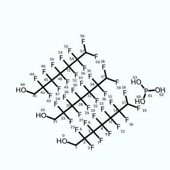 OCC(F)(F)C(F)(F)C(F)(F)C(F)(F)C(F)(F)C(F)F.OCC(F)(F)C(F)(F)C(F)(F)C(F)(F)C(F)(F)C(F)F.OCC(F)(F)C(F)(F)C(F)(F)C(F)(F)C(F)(F)C(F)F.OP(O)O